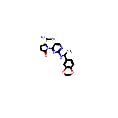 CC(Nc1nccc(N2C(=O)CC[C@@H]2C(C)C)n1)c1ccc2c(c1)OCCO2